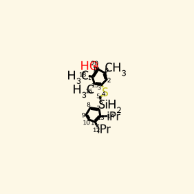 Cc1cc(SC[SiH2]c2cccc(C(C)C)c2C(C)C)c(C)c(C)c1O